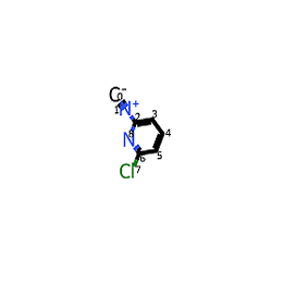 [C-]#[N+]c1cccc(Cl)n1